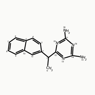 CC(c1ccc2ccccc2c1)c1nc(N)nc(N)n1